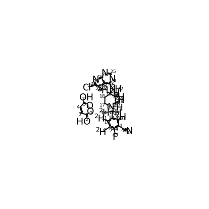 O=C(O)/C=C\C(=O)O.[2H]c1c([2H])c(C([2H])([2H])N2CCC([2H])(N([2H])c3ncnc4nc(Cl)sc34)C([2H])([2H])C2([2H])[2H])c([2H])c(C#N)c1F